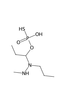 CCCN(NC)C(CC)OP(=O)(O)S